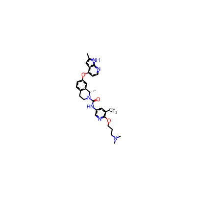 Cc1cc2c(Oc3ccc4c(c3)[C@H](C)N(C(=O)Nc3cnc(OCCCN(C)C)c(C(F)(F)F)c3)CC4)ccnc2[nH]1